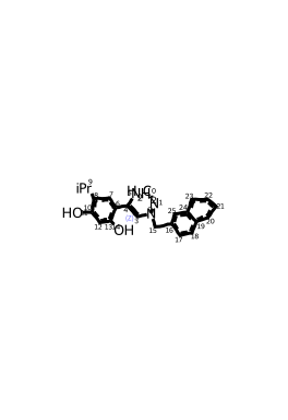 C=NN(/C=C(\N)c1cc(C(C)C)c(O)cc1O)Cc1ccc2ccccc2c1